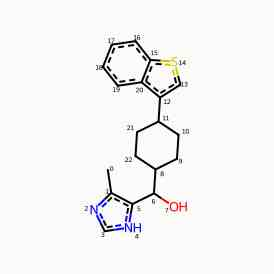 Cc1nc[nH]c1C(O)C1CCC(c2csc3ccccc23)CC1